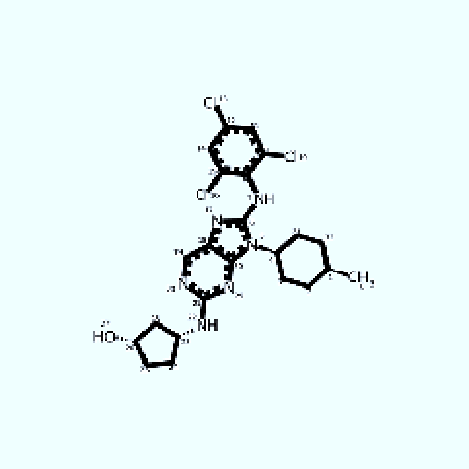 C[C@H]1CC[C@@H](n2c(Nc3c(Cl)cc(Cl)cc3Cl)nc3cnc(N[C@@H]4CC[C@H](O)C4)nc32)CC1